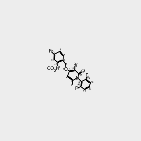 Cc1cc(OCc2ccc(F)cc2C(=O)O)c(Br)c(=O)n1-c1c(F)cccc1F